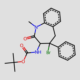 CN1C(=O)C(NC(=O)OC(C)(C)C)C(Br)(c2ccccc2)Cc2ccccc21